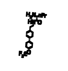 CCCC(N)C(=O)NCCc1ccc(-c2ccc(OC(F)(F)F)cc2)cc1